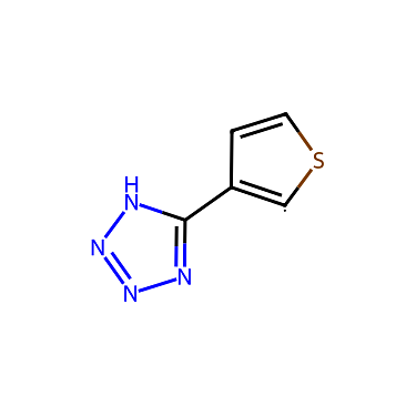 [c]1sccc1-c1nnn[nH]1